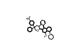 COc1cc2c(c3cccc(N4CCCCC4)c13)=C1C=CCC=C1C1CC(c3ccccc3)(c3ccc(N(C)C)cc3)COC=21